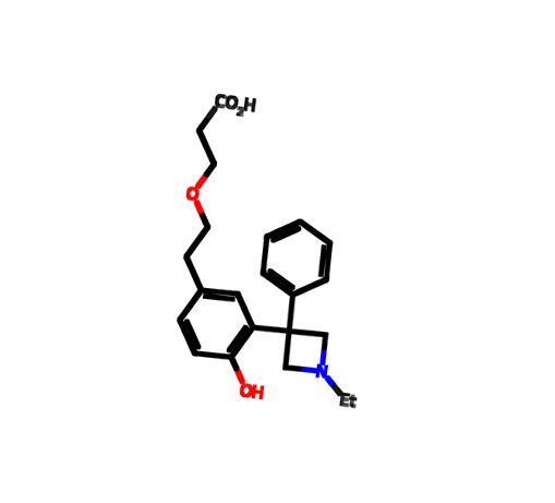 CCN1CC(c2ccccc2)(c2cc(CCOCCC(=O)O)ccc2O)C1